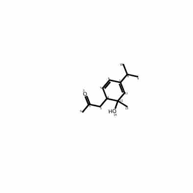 CC(=O)CC1C=CC(C(C)C)=CC1(C)O